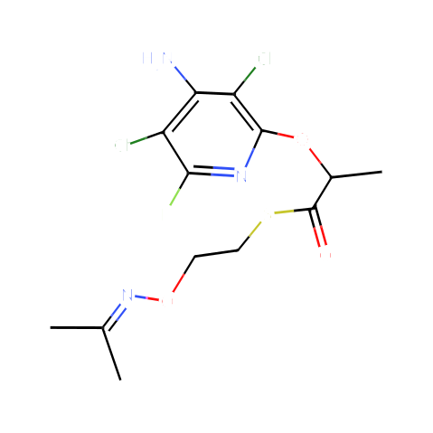 CC(C)=NOCCSC(=O)C(C)Oc1nc(F)c(Cl)c(N)c1Cl